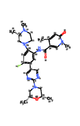 C[C@@H]1CN(c2ncc(-c3cc(NC(=O)c4cn(C)c(=O)cc4C(F)(F)F)c(N4CCN(C)[C@@H](C)C4)cc3F)cn2)C[C@H](C)O1